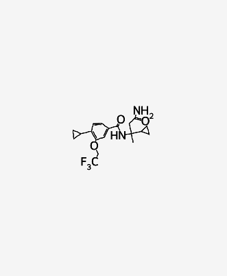 CC(CC(N)=O)(NC(=O)c1ccc(C2CC2)c(OCC(F)(F)F)c1)C1CC1